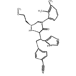 COCC[C@H]1CN(c2cccc(C)c2C)C(=O)C(C(Cc2ccc(C#N)cc2)c2cnc[nH]2)N1